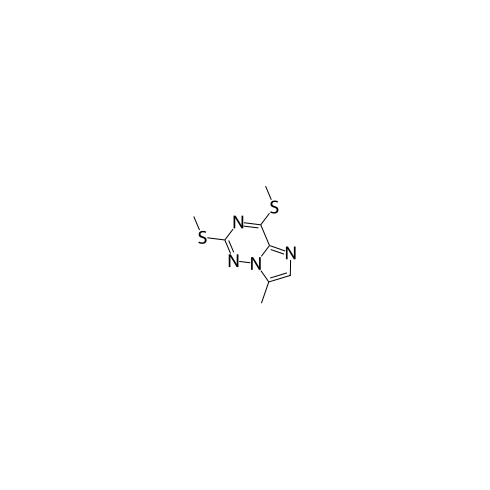 CSc1nc(SC)c2ncc(C)n2n1